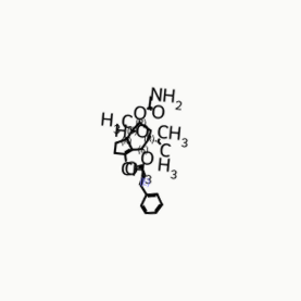 CC1=C2[C@@H](CC1)[C@]1(C)O[C@@](C(C)C)(C[C@H]1OC(=O)CN)[C@H]2OC(=O)/C=C/c1ccccc1